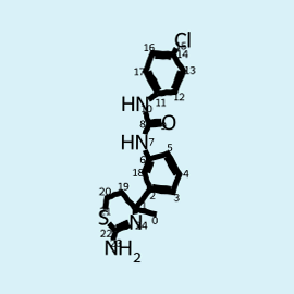 CC1(c2cccc(NC(=O)Nc3ccc(Cl)cc3)c2)CCSC(N)=N1